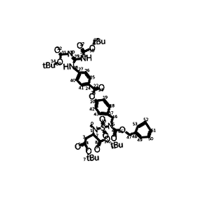 CN(C(CC(=O)OC(C)(C)C)C(=O)OC(C)(C)C)S(=O)(=O)N(Cc1ccc(OC(=O)c2ccc(NC(=NC(=O)OC(C)(C)C)NC(=O)OC(C)(C)C)cc2)cc1)C(=O)OCc1ccccc1